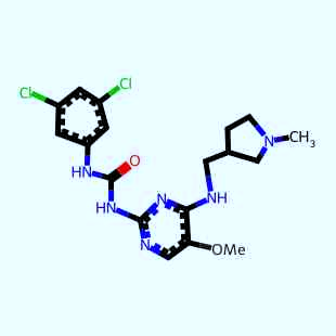 COc1cnc(NC(=O)Nc2cc(Cl)cc(Cl)c2)nc1NCC1CCN(C)C1